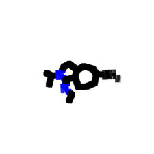 BC1CCCC2/C(=N\CC)N(C(C)C)CCC2CC1